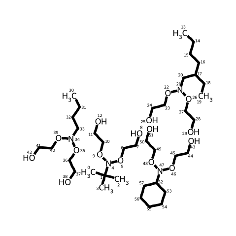 CC(C)(C)N(OCCO)OCCO.CCCCC(CC)CN(OCCO)OCCO.CCCCN(OCCO)OCCO.OCCON(OCCO)C1CCCCC1